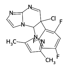 Cc1cc(C)n(C2n3ccnc3N=CC2(Cl)c2c(F)cc(F)cc2F)n1